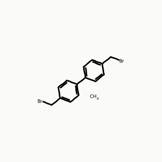 BrCc1ccc(-c2ccc(CBr)cc2)cc1.C